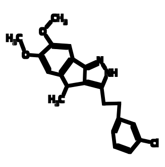 COc1cc2c(cc1OC)C(C)c1c-2n[nH]c1CCc1cccc(Cl)c1